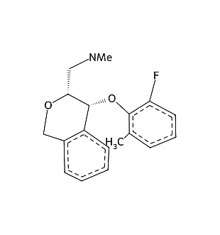 CNC[C@H]1OCc2ccccc2[C@H]1Oc1c(C)cccc1F